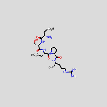 N=C(N)NCCC[C@@H]([C]=O)NC(=O)[C@@H]1CCCN1C(=O)[C@H](CC(=O)O)NC(=O)[C@H](CO)NC(=O)[C@@H](N)CC(=O)O